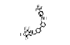 O=C(O)c1cn(Cc2ccc(-c3cccc(CNc4ccc(C(F)(F)F)cn4)c3)cc2)nc1C(F)(F)F